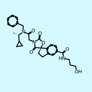 C[C@@H](C1CC1)N(Cc1ccccc1)C(=O)CN1C(=O)O[C@@]2(CCc3cc(C(=O)NCCCO)ccc32)C1=O